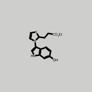 CCOC(=O)CCC1SC=CN1c1c[nH]c2cc(O)ccc12